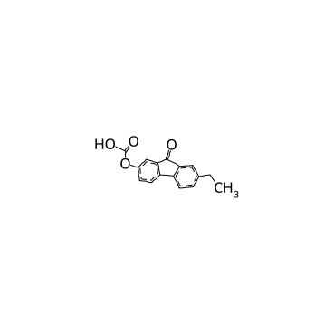 CCc1ccc2c(c1)C(=O)c1cc(OC(=O)O)ccc1-2